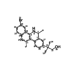 Cc1nc(NC(C)c2cccc(C(F)(F)CO)c2)c2cc(Br)ccc2n1